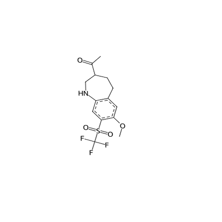 COc1cc2c(cc1S(=O)(=O)C(F)(F)F)NCC(C(C)=O)CC2